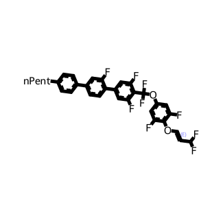 CCCCCc1ccc(-c2ccc(-c3cc(F)c(C(F)(F)Oc4cc(F)c(O/C=C/C(F)F)c(F)c4)c(F)c3)c(F)c2)cc1